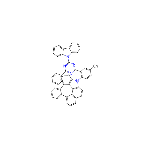 N#Cc1ccc(-n2c3cccc4c3c3c5c(cccc5ccc32)-c2ccccc2-4)c(-c2nc(-c3ccccc3)nc(-n3c4ccccc4c4ccccc43)n2)c1